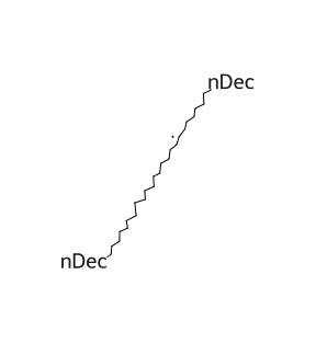 CCCCCCCCCCCCCCCCC[CH]CCCCCCCCCCCCCCCCCCCCCCCCCCC